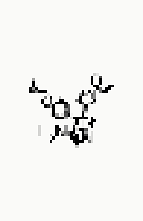 C=CC(=O)N1CCC(c2c(-c3ccc(OCC4CC4)cc3)c3c(N)ncnc3n2C)C1